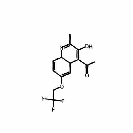 CC(=O)C1=C(O)C(C)=NC2C=CC(OCC(F)(F)F)=CC12